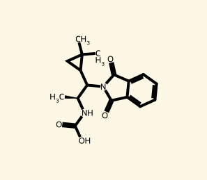 C[C@H](NC(=O)O)C(C1CC1(C)C)N1C(=O)c2ccccc2C1=O